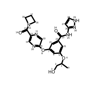 CC(CO)Oc1cc(Oc2cnc(C(=O)N3CCC3)cn2)cc(C(=O)Nc2cc[nH]n2)c1